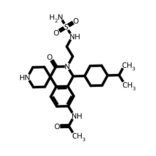 CC(=O)Nc1ccc2c(c1)C(C1CCC(C(C)C)CC1)N(CCNS(N)(=O)=O)C(=O)C21CCNCC1